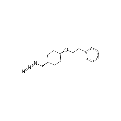 [N-]=[N+]=NC[C@H]1CC[C@@H](OCCc2ccccc2)CC1